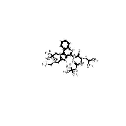 CCOCc1nc2c(NC(=O)[C@H](CC(C)C)NC(=O)OC(C)(C)C)nc3ccccc3c2n1CC(C)(C)O